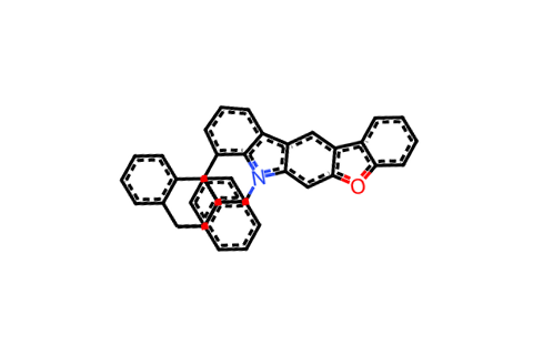 c1ccc2c(c1)C1c3ccccc3C23c2c1cccc2-n1c2cc4oc5ccccc5c4cc2c2cccc3c21